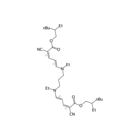 CCCCC(CC)COC(=O)/C(C#N)=C\C=C\N(CC)CCCN(/C=C/C=C(/C#N)C(=O)OCC(CC)CCCC)CC